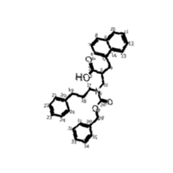 O=C(O)C(Cc1cccc2ccccc12)CN(CCCc1ccccc1)C(=O)OCc1ccccc1